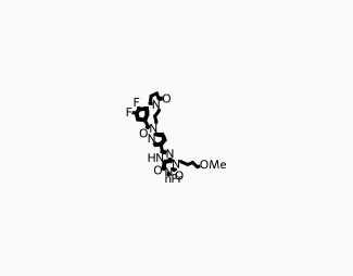 CCCn1c(=O)c2[nH]c(-c3ccc(N(CCCN4CCCC4=O)C(=O)c4ccc(F)c(F)c4)nc3)nc2n(CCCCOC)c1=O